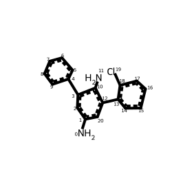 Nc1cc(-c2ccccc2)c(N)c(-c2ccccc2Cl)c1